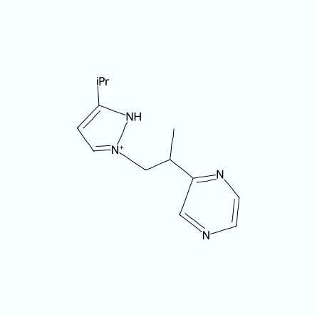 CC(C)c1cc[n+](CC(C)c2cnccn2)[nH]1